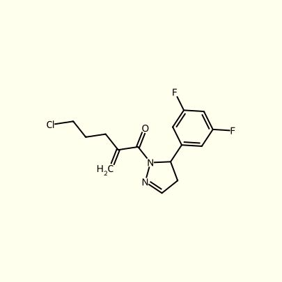 C=C(CCCCl)C(=O)N1N=CCC1c1cc(F)cc(F)c1